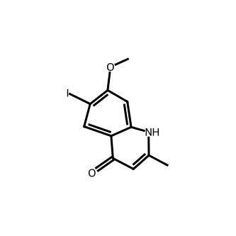 COc1cc2[nH]c(C)cc(=O)c2cc1I